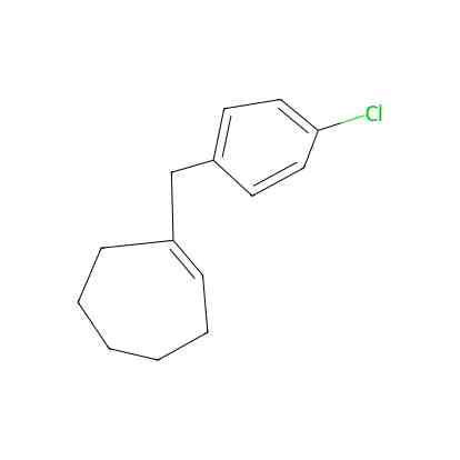 Clc1ccc(CC2=CCCCCC2)cc1